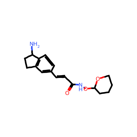 NC1CCc2cc(/C=C/C(=O)NOC3CCCCO3)ccc21